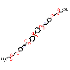 C=CC(=O)OCCOc1ccc(/C=C/C(=O)Oc2ccc(S(=O)(=O)c3ccc(OC(=O)/C=C/c4ccc(OCCOC(=O)C=C)cc4)cc3)cc2)cc1